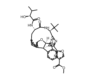 COC(=O)c1coc(-c2nc3oc2[C@@]24c5ccccc5N[C@@H]2Oc2ccc(cc24)C[C@H](NC(=O)[C@@H](O)C(C)C)C(=O)N[C@H]3C(C)(C)C)n1